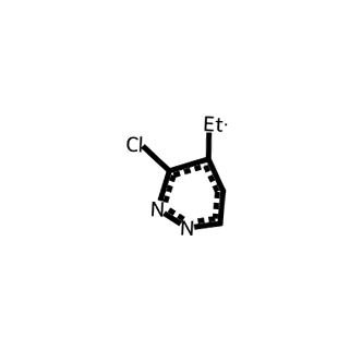 C[CH]c1ccnnc1Cl